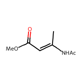 COC(=O)C=C(C)NC(C)=O